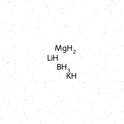 B.[KH].[LiH].[MgH2]